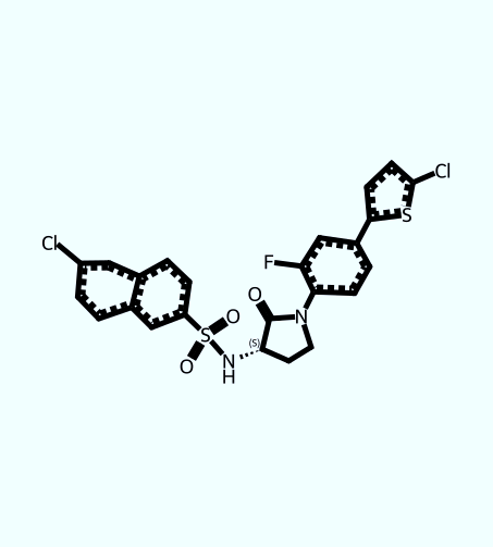 O=C1[C@@H](NS(=O)(=O)c2ccc3cc(Cl)ccc3c2)CCN1c1ccc(-c2ccc(Cl)s2)cc1F